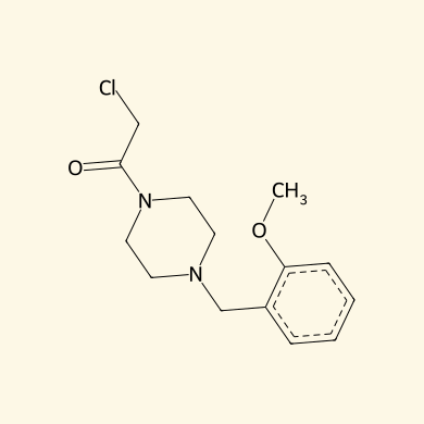 COc1ccccc1CN1CCN(C(=O)CCl)CC1